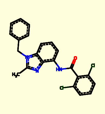 Cc1nc2c(NC(=O)c3c(Cl)cccc3Cl)cccc2n1Cc1ccccc1